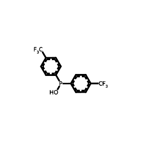 OP(c1ccc(C(F)(F)F)cc1)c1ccc(C(F)(F)F)cc1